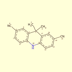 CC1(C)c2cc(C#N)ccc2Nc2ccc(C#N)cc21